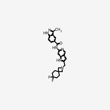 Cc1n[nH]c2ccc(C(=O)Nc3cc4[nH]c(CN5CC6(CCC(F)(F)CC6)C5)cc4cn3)cc12